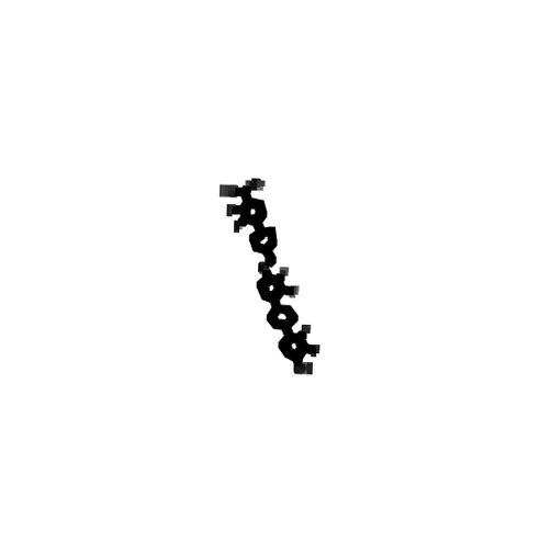 CCCC(O)c1ccc(C2=CCC(COc3ccc(C4CC=C(c5ccc(O)c(F)c5F)CC4)c(F)c3F)CC2)c(F)c1F